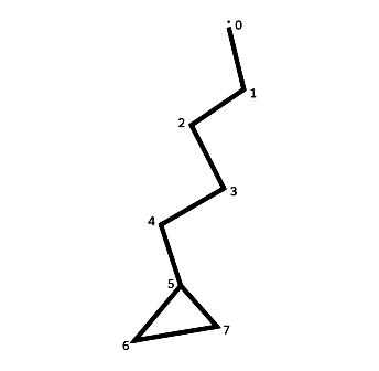 [CH2]CCCCC1CC1